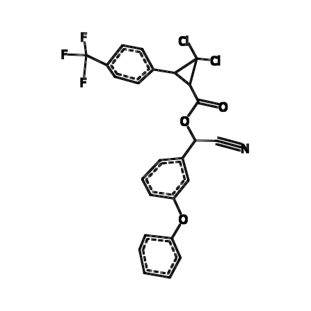 N#CC(OC(=O)C1C(c2ccc(C(F)(F)F)cc2)C1(Cl)Cl)c1cccc(Oc2ccccc2)c1